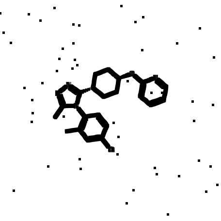 CCc1ccc(-n2c(C)nnc2[C@H]2CC[C@H](Oc3ccccn3)CC2)c(C)c1